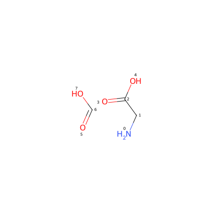 NCC(=O)O.O=CO